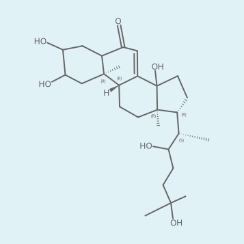 C[C@H](C(O)CCC(C)(C)O)[C@H]1CCC2(O)C3=CC(=O)C4CC(O)C(O)C[C@]4(C)[C@H]3CC[C@]12C